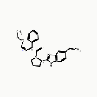 CCc1ccc2[nH]c([C@@H]3CCCN3C(=O)[C@H](/N=C\OOC)c3ccccc3)nc2c1